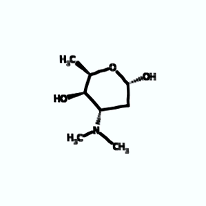 C[C@H]1O[C@H](O)C[C@H](N(C)C)[C@H]1O